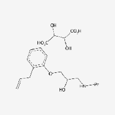 C=CCc1ccccc1OCC(O)CNC(C)C.O=C(O)C(O)C(O)C(=O)O